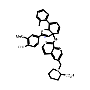 COc1cc(/C(F)=C/C2(Nc3nccc4cc(CN5CCCCC5C(=O)O)cnc34)C=CC=C(c3ccccc3C)C2C)ccc1C=O